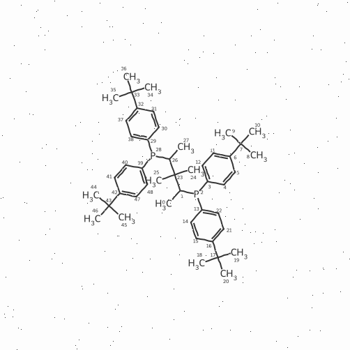 CC(P(c1ccc(C(C)(C)C)cc1)c1ccc(C(C)(C)C)cc1)C(C)(C)C(C)P(c1ccc(C(C)(C)C)cc1)c1ccc(C(C)(C)C)cc1